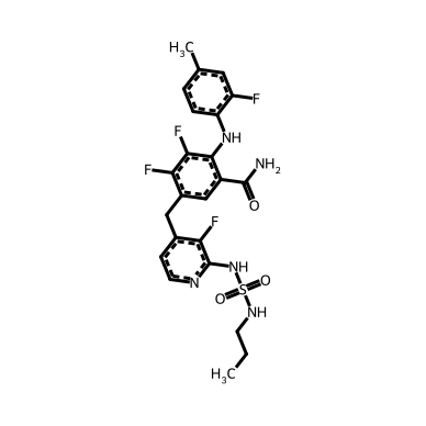 CCCNS(=O)(=O)Nc1nccc(Cc2cc(C(N)=O)c(Nc3ccc(C)cc3F)c(F)c2F)c1F